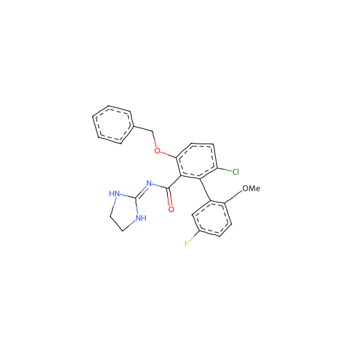 COc1ccc(F)cc1-c1c(Cl)ccc(OCc2ccccc2)c1C(=O)N=C1NCCN1